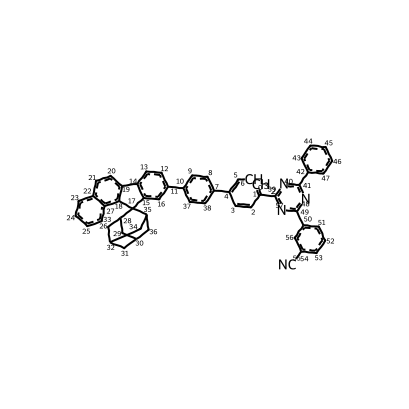 C=C(/C=C\C(=C/C)c1ccc(-c2ccc3c(c2)C2(c4c-3ccc3ccccc43)C3CC4CC(C3)CC2C4)cc1)c1nc(-c2ccccc2)nc(-c2cccc(C#N)c2)n1